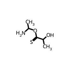 CC(N)OC(=S)C(C)O